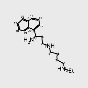 CCNCCCCNCCC(N)c1cccc2ccccc12